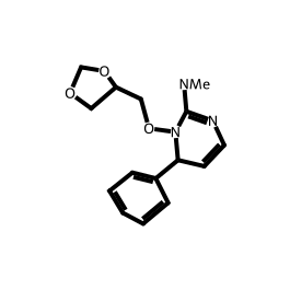 CNC1=NC=CC(c2ccccc2)N1OCC1COCO1